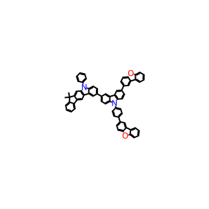 CC1(C)c2ccccc2-c2cc3c4cc(-c5ccc6c(c5)c5cc(-c7ccc8oc9ccccc9c8c7)ccc5n6-c5ccc(-c6ccc7oc8ccccc8c7c6)cc5)ccc4n(-c4ccccc4)c3cc21